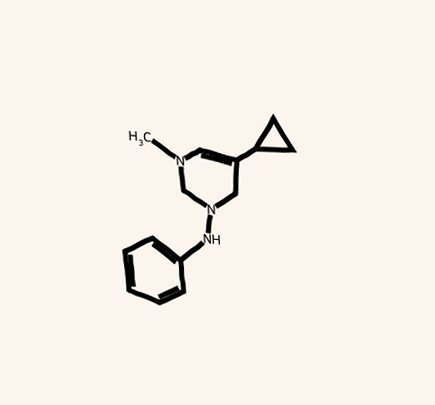 CN1C=C(C2CC2)CN(Nc2ccccc2)C1